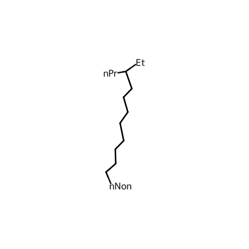 [CH2]CC(CCC)CCCCCCCCCCCCCCCCC